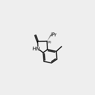 C=C1Nc2cccc(C)c2[C@H]1C(C)C